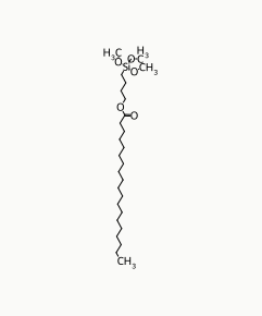 CCCCCCCCCCCCCCCCCCC(=O)OCCCC[Si](OC)(OC)OC